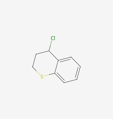 ClC1CCSc2ccccc21